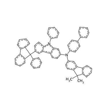 CC1(C)c2ccccc2-c2cc(N(c3ccc(-c4ccccc4)cc3)c3ccc4c5cc(C6(c7ccccc7)c7ccccc7-c7ccccc76)ccc5n(-c5ccccc5)c4c3)ccc21